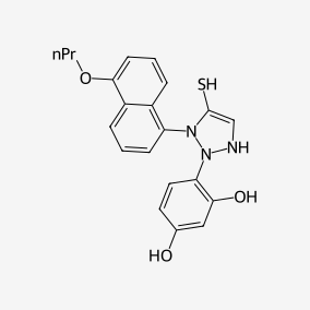 CCCOc1cccc2c(N3C(S)=CNN3c3ccc(O)cc3O)cccc12